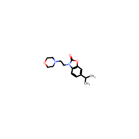 CC(C)c1ccc2c(c1)oc(=O)n2CCN1CCOCC1